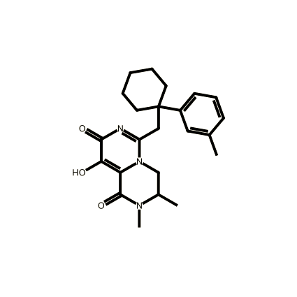 Cc1cccc(C2(Cc3nc(=O)c(O)c4n3CC(C)N(C)C4=O)CCCCC2)c1